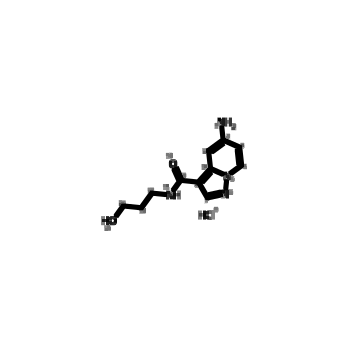 Cl.Nc1ccn2ncc(C(=O)NCCCO)c2c1